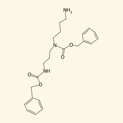 NCCCCN(CCCNC(=O)OCc1ccccc1)C(=O)OCc1ccccc1